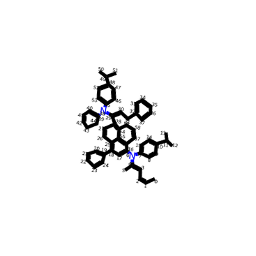 C/C=C\C=C(/C)N(c1ccc(C(C)C)cc1)c1cc(-c2ccccc2)c2ccc(/C(=C\Cc3ccccc3)N(C3=CC=CCC3)c3ccc(C(C)C)cc3)c3c2c1C=CC3